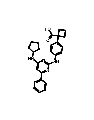 O=C(O)C1(c2ccc(Nc3nc(NC4CCCC4)cc(-c4ccccc4)n3)cc2)CCC1